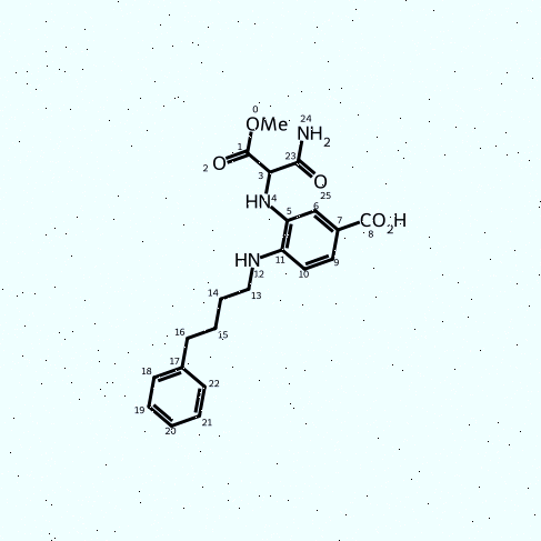 COC(=O)C(Nc1cc(C(=O)O)ccc1NCCCCc1ccccc1)C(N)=O